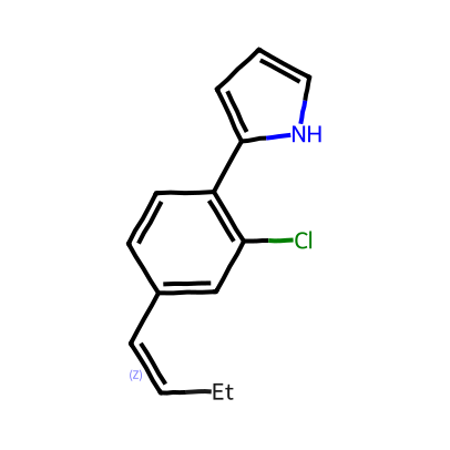 CC/C=C\c1ccc(-c2ccc[nH]2)c(Cl)c1